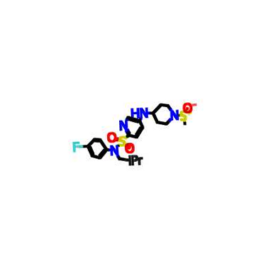 CC(C)CN(c1ccc(F)cc1)S(=O)(=O)c1ccc(NC2CCN([S+](C)[O-])CC2)cn1